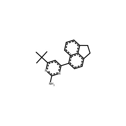 CC(C)(C)c1cc(-c2ccc3c4c(cccc24)CC3)nc(N)n1